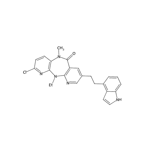 CCN1c2ncc(CCc3cccc4[nH]ccc34)cc2C(=O)N(C)c2ccc(Cl)nc21